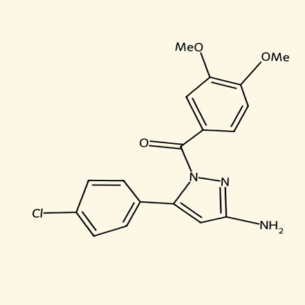 COc1ccc(C(=O)n2nc(N)cc2-c2ccc(Cl)cc2)cc1OC